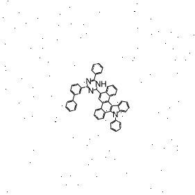 c1ccc(C2=NC(c3cccc(-c4ccccc4)c3)=NC(c3cc4c5ccccc5c5c(c6ccccc6n5-c5ccccc5)c4c4ccccc34)N2)cc1